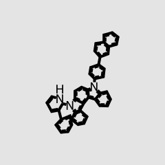 C1=CNC(n2c3ccccc3c3c4c5ccccc5n(-c5ccc(-c6ccc7ccccc7c6)cc5)c4ccc32)C(c2ccccc2)=C1